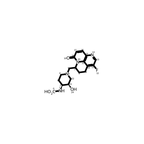 O=C(O)N[C@H]1CCN(CC2CCc3c(F)cnc4ccc(=O)n2c34)C[C@H]1O